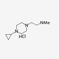 CNCCN1CCN(C2CC2)CC1.Cl